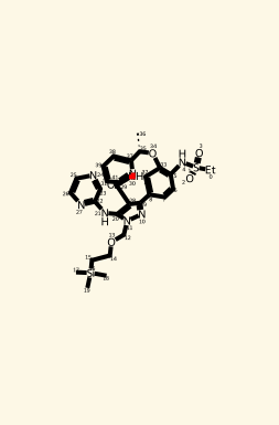 CCS(=O)(=O)Nc1ccc(-c2nn(COCC[Si](C)(C)C)c(Nc3cnccn3)c2C(N)=O)cc1O[C@@H](C)c1ccccn1